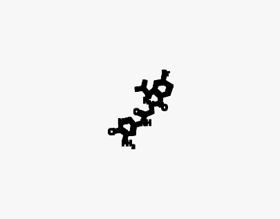 CC(C)c1nn(CC(=O)Nc2cnc(Cl)c(P)c2)c(=O)c2ccc(Br)cc12